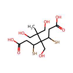 CC(CO)(CO)C(CO)(C(S)CC(=O)O)C(S)CC(=O)O